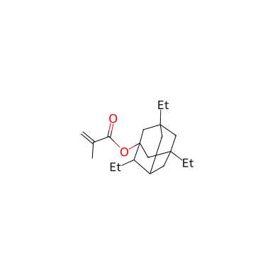 C=C(C)C(=O)OC12CC3(CC)CC(CC(CC)(C3)C1)C2CC